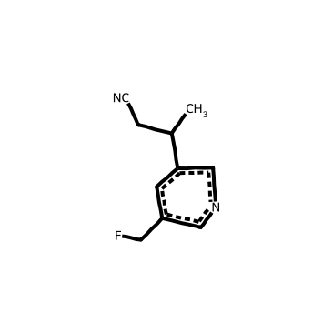 CC(CC#N)c1cncc(CF)c1